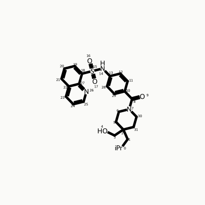 CC(C)CC1(CO)CCN(C(=O)c2ccc(NS(=O)(=O)c3cccc4cccnc34)cc2)CC1